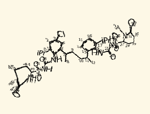 CC(C)c1cc(Cl)cc(C(C)CCC(C)c2cccc(C(C)C)c2NC(=O)NS(=O)(=O)C2CCCC(=O)N2C)c1NC(=O)NS(=O)(=O)C1CCCC(=O)N1